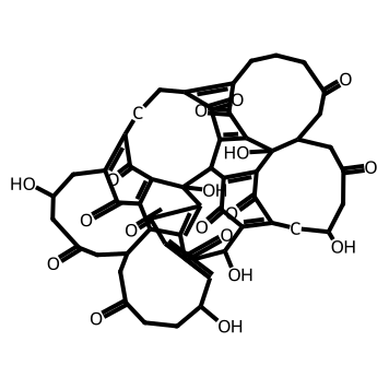 O=C1CCC(O)C2=C3CC(O)C4=C5CC(O)CC(=O)CC6CC(=O)CCCC7=C8CCC9=C%10CC(O)CC(=O)CC(C1)C1C(=C(C9=O)C(O)(C(=C1C2=O)C3=O)C1C(=C(C7=O)C6(O)C(=C1C4=O)C5=O)C8=O)C%10=O